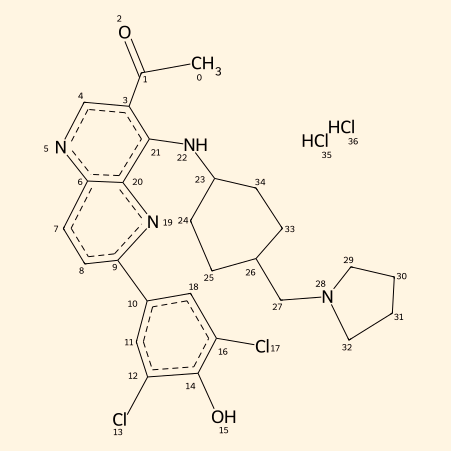 CC(=O)c1cnc2ccc(-c3cc(Cl)c(O)c(Cl)c3)nc2c1NC1CCC(CN2CCCC2)CC1.Cl.Cl